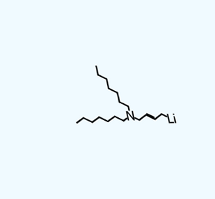 [Li][CH2]/C=C/CN(CCCCCCC)CCCCCCC